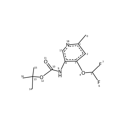 Cc1cc(OC(F)F)c(NC(=O)OC(C)(C)C)cn1